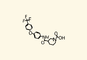 O=C(Nc1ccc(Oc2ccc(C(F)(F)F)cc2)cc1)C1CCCN(C(=O)O)C1